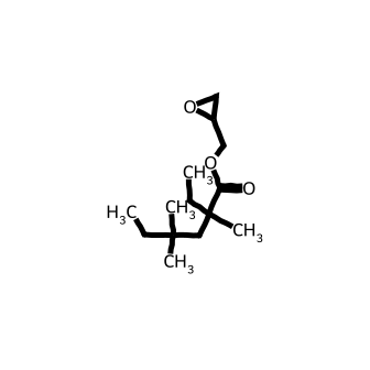 CCC(C)(C)CC(C)(CC)C(=O)OCC1CO1